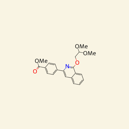 COC(=O)c1ccc(-c2cc3ccccc3c(OCC(OC)OC)n2)cc1